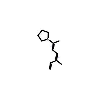 C=C/C(C)=C\C=C(/C)N1CCCC1